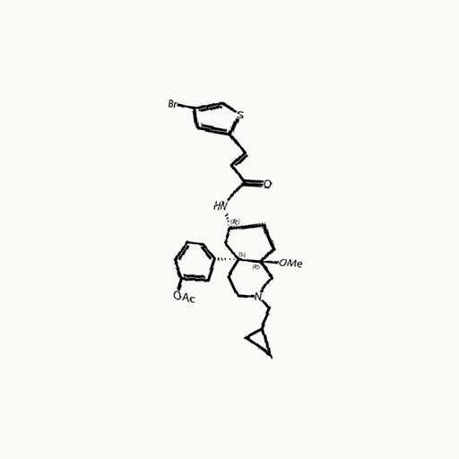 CO[C@]12CC[C@@H](NC(=O)C=Cc3cc(Br)cs3)C[C@]1(c1cccc(OC(C)=O)c1)CCN(CC1CC1)C2